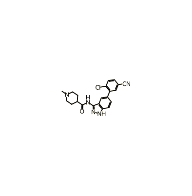 CN1CCC(C(=O)Nc2n[nH]c3ccc(-c4cc(C#N)ccc4Cl)cc23)CC1